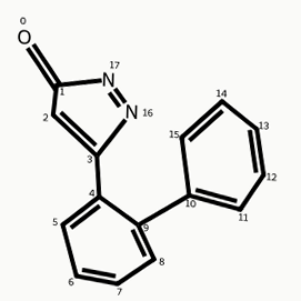 O=C1C=C(c2ccccc2-c2ccccc2)N=N1